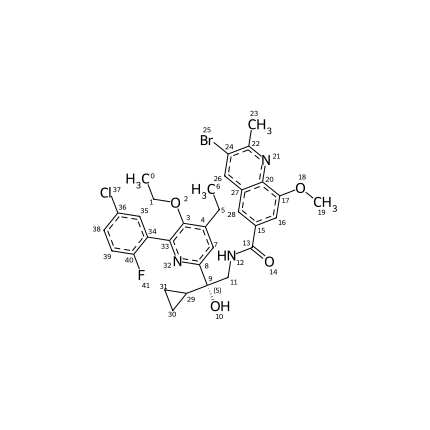 CCOc1c(CC)cc([C@@](O)(CNC(=O)c2cc(OC)c3nc(C)c(Br)cc3c2)C2CC2)nc1-c1cc(Cl)ccc1F